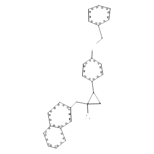 NC1(Cc2ccc3ccccc3c2)CC1c1ccc(OCc2ccccc2)cc1